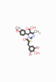 COc1ccc(C2C(C(=O)O)=C(C)N=c3s/c(=C\c4cc(Br)c(O)c(Br)c4)c(=O)n32)cc1